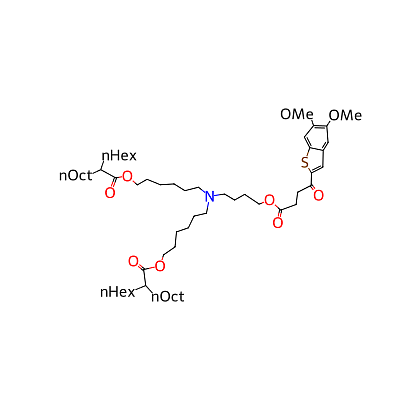 CCCCCCCCC(CCCCCC)C(=O)OCCCCCCN(CCCCCCOC(=O)C(CCCCCC)CCCCCCCC)CCCCOC(=O)CCC(=O)c1cc2cc(OC)c(OC)cc2s1